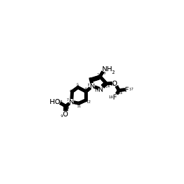 Nc1cn(C2CCN(C(=O)O)CC2)nc1OC(F)F